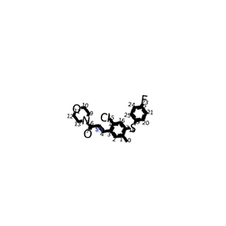 Cc1cc(/C=C/C(=O)N2CCOCC2)c(Cl)cc1Sc1ccc(F)cc1